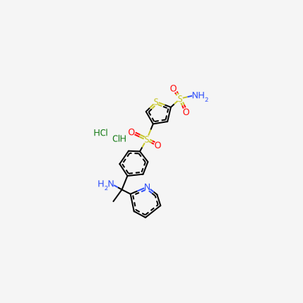 CC(N)(c1ccc(S(=O)(=O)c2csc(S(N)(=O)=O)c2)cc1)c1ccccn1.Cl.Cl